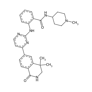 CN1CCC(NC(=O)c2ccccc2Nc2nccc(-c3ccc4c(c3)C(C)(C)CNC4=O)n2)CC1